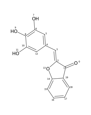 O=C1/C(=C/c2cc(O)c(O)c(O)c2)Oc2ccccc21